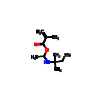 C=C(C)C(=O)OC(C)NC(C)(C)CC(C)(C)C